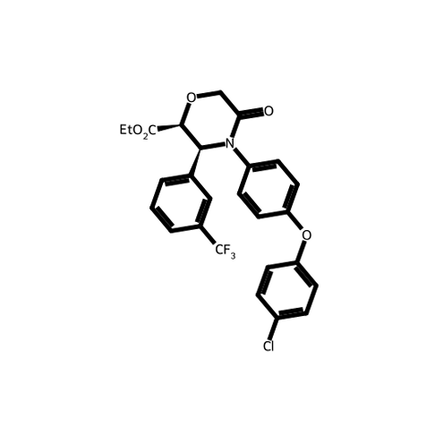 CCOC(=O)[C@H]1OCC(=O)N(c2ccc(Oc3ccc(Cl)cc3)cc2)[C@H]1c1cccc(C(F)(F)F)c1